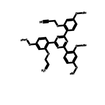 C#CCOc1cc(OCCCC)ccc1-c1nc(-c2ccc(OCCCCC)cc2OCC=C)nc(-c2ccc(OCCCC)cc2OCCCC)n1